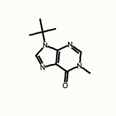 Cn1cnc2c(ncn2C(C)(C)C)c1=O